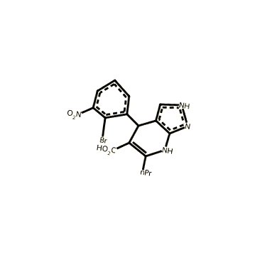 CCCC1=C(C(=O)O)C(c2cccc([N+](=O)[O-])c2Br)c2c[nH]nc2N1